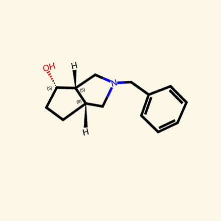 O[C@H]1CC[C@H]2CN(Cc3ccccc3)C[C@H]21